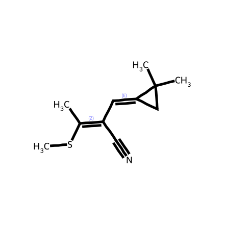 CS/C(C)=C(C#N)/C=C1\CC1(C)C